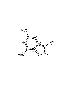 COc1nc(C)cn2c(C(C)C)ncc12